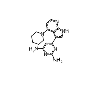 Nc1cc(-c2c[nH]c3nccc(N4CCCCC4)c23)nc(N)n1